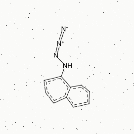 [N-]=[N+]=NNc1cccc2ccccc12